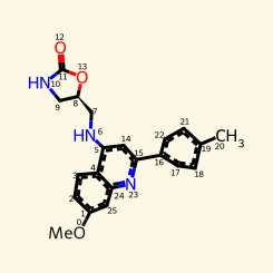 COc1ccc2c(NC[C@H]3CNC(=O)O3)cc(-c3ccc(C)cc3)nc2c1